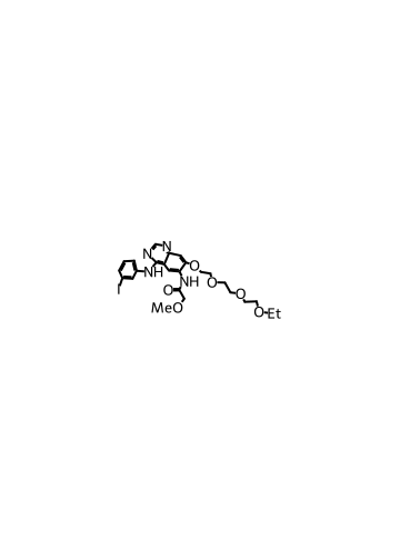 CCOCCOCCOCCOc1cc2ncnc(Nc3cccc(I)c3)c2cc1NC(=O)COC